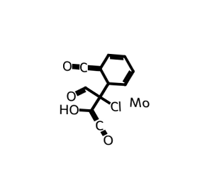 O=C=C1C=CC=CC1C(Cl)(C=O)C(O)=C=O.[Mo]